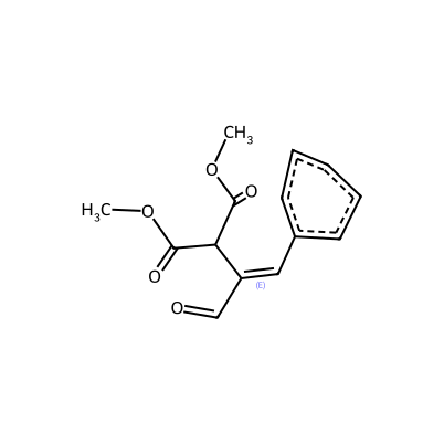 COC(=O)C(C(=O)OC)/C(C=O)=C\c1ccccc1